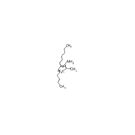 CC(C)[CH2][AlH2].CCCCC[CH2][AlH][CH2]CCCCC